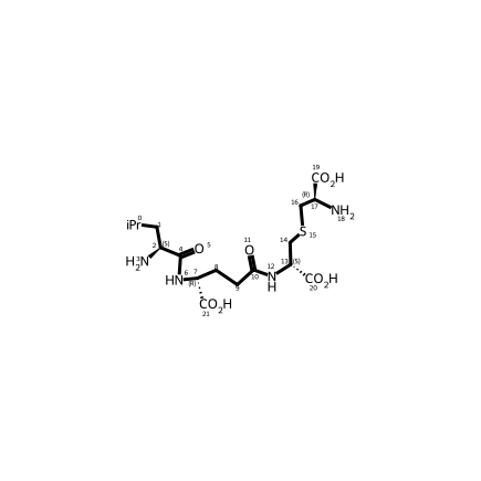 CC(C)C[C@H](N)C(=O)N[C@H](CCC(=O)N[C@H](CSC[C@H](N)C(=O)O)C(=O)O)C(=O)O